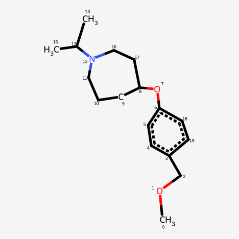 COCc1ccc(OC2CCCN(C(C)C)CC2)cc1